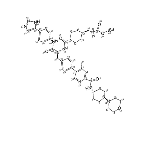 Cc1cc(C(=O)N[C@H]2CC[C@H](N3CCOCC3)CC2)ncc1-c1ccc(C[C@H](NC(=O)[C@H]2CC[C@H](CNC(=O)OC(C)(C)C)CC2)C(=O)Nc2ccc(-c3nnn[nH]3)cc2)cc1